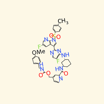 COc1ccc(CNC(=O)OCc2ccnc(C(=O)NC3CCC[C@@H](Nc4nc(-c5cn(S(=O)(=O)c6ccc(C)cc6)c6ncc(F)cc56)ncc4F)C3)c2)cc1